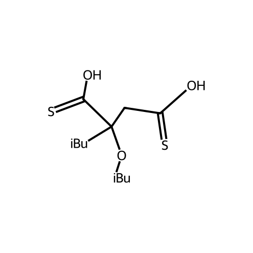 CCC(C)OC(CC(O)=S)(C(O)=S)C(C)CC